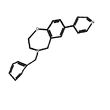 c1ccc(CN2CCOc3ccc(-c4ccncc4)cc3C2)cc1